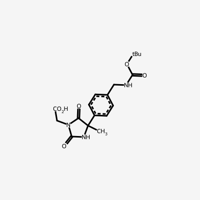 CC(C)(C)OC(=O)NCc1ccc(C2(C)NC(=O)N(CC(=O)O)C2=O)cc1